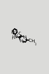 Cc1cnc(Nc2ccccc2)c(C(=O)O)n1